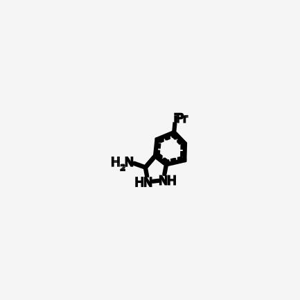 CC(C)c1ccc2c(c1)C(N)NN2